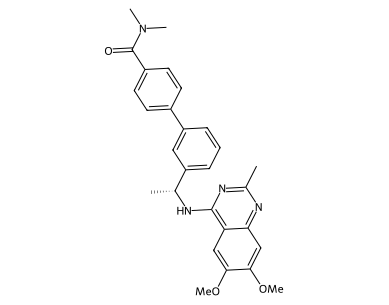 COc1cc2nc(C)nc(N[C@H](C)c3cccc(-c4ccc(C(=O)N(C)C)cc4)c3)c2cc1OC